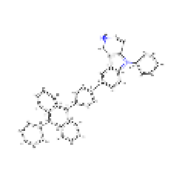 C1=Cc2c(c3cc(-c4ccc(-c5c6ccccc6c(-c6ccccc6)c6ccccc56)cc4)ccc3n2-c2ccccc2)CN1